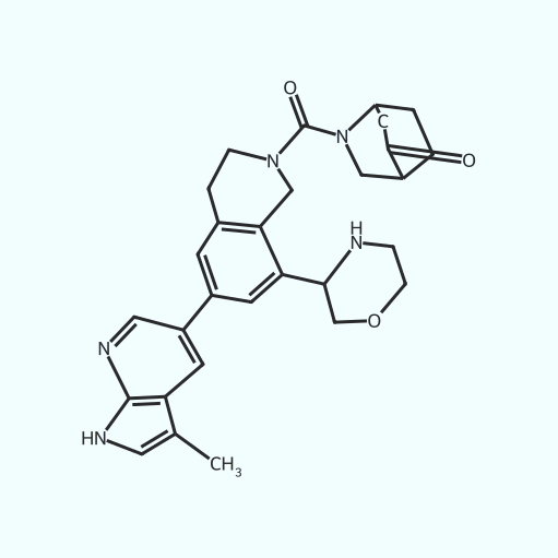 Cc1c[nH]c2ncc(-c3cc4c(c(C5COCCN5)c3)CN(C(=O)N3CC5CCC3CC5=O)CC4)cc12